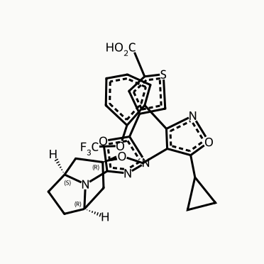 O=C(O)c1cc(-c2nnc(N3[C@@H]4CC[C@H]3C[C@@H](OCc3c(-c5ccccc5OC(F)(F)F)noc3C3CC3)C4)o2)cs1